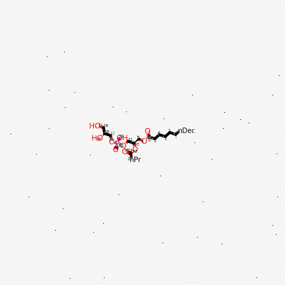 CCCCCCCCCCCCCCCC(=O)OC[C@H](COP(=O)(O)OC[C@@H](O)CO)OC(=O)CCC